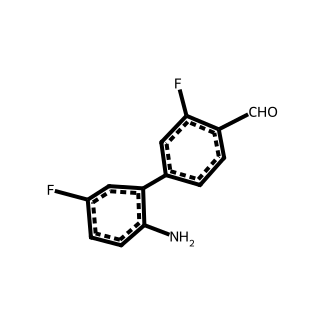 Nc1ccc(F)cc1-c1ccc(C=O)c(F)c1